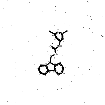 Cc1cc(NC(=O)OCC2c3ccccc3-c3ccccc32)cc(C)n1